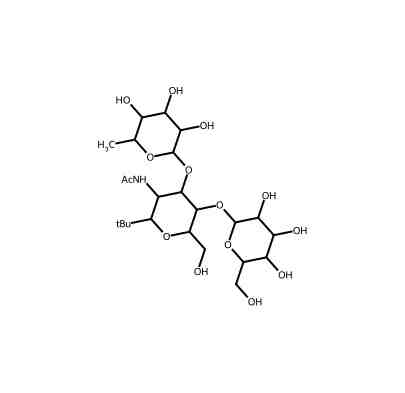 CC(=O)NC1C(OC2OC(C)C(O)C(O)C2O)C(OC2OC(CO)C(O)C(O)C2O)C(CO)OC1C(C)(C)C